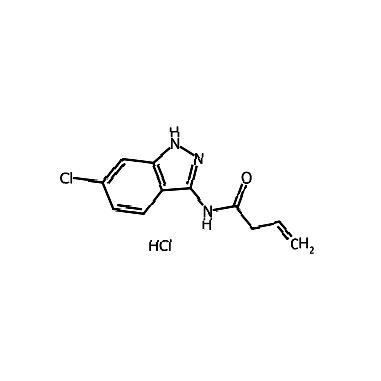 C=CCC(=O)Nc1n[nH]c2cc(Cl)ccc12.Cl